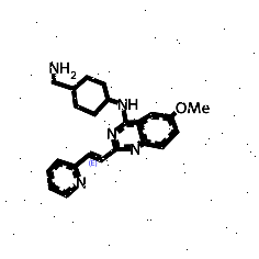 COc1ccc2nc(/C=C/c3ccccn3)nc(NC3CCC(CN)CC3)c2c1